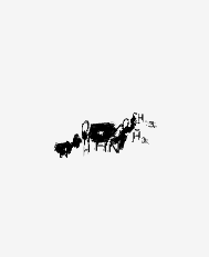 CCC(C)CC(=O)[C@@]1(Oc2ccc(NC(=O)N3CC(c4cccnc4)C3)cc2)CCNC1